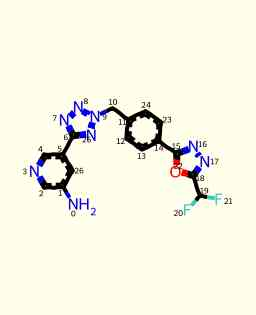 Nc1cncc(-c2nnn(Cc3ccc(-c4nnc(C(F)F)o4)cc3)n2)c1